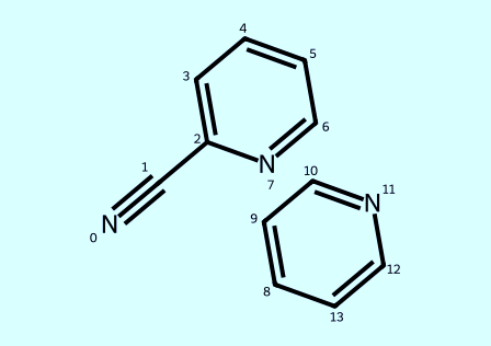 N#Cc1ccccn1.c1ccncc1